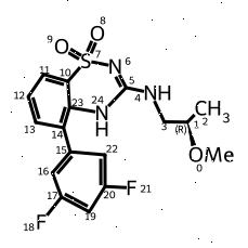 CO[C@H](C)CNC1=NS(=O)(=O)c2cccc(-c3cc(F)cc(F)c3)c2N1